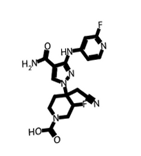 N#CCC1(n2cc(C(N)=O)c(Nc3ccnc(F)c3)n2)CCN(C(=O)O)CC1F